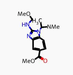 CNC(C)n1c(NCOC)nc2cc(C(=O)OC)ccc21